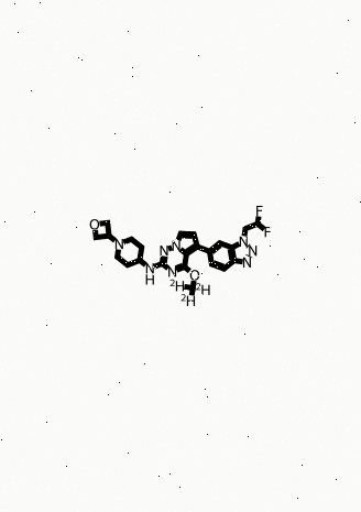 [2H]C([2H])([2H])Oc1nc(NC2CCN(C3COC3)CC2)nn2ccc(-c3ccc4nnn(CC(F)F)c4c3)c12